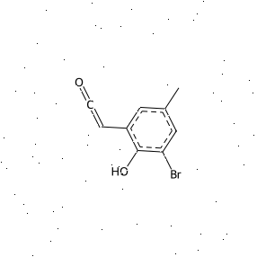 Cc1cc(Br)c(O)c(C=C=O)c1